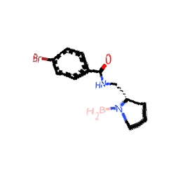 BN1CCC[C@H]1CNC(=O)c1ccc(Br)cc1